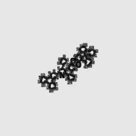 c1ccc(-c2cc(-c3ccc4c5ccccc5c5ccccc5c4c3)nc(-c3ccccc3-c3ccc4c(c3)Oc3c(ccc5c3-c3ccccc3C5(c3ccccc3)c3ccccc3)O4)c2)cc1